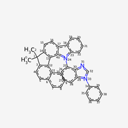 CC1(C)c2ccc3ccccc3c2-c2c1ccc1c3ccccc3n(-c3cccc4c3ncn4-c3ccccc3)c21